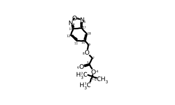 CC(C)(C)OC(=O)COCc1ccc2nonc2c1